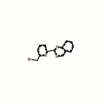 BrCc1cccc(-c2ncc3ccccc3n2)n1